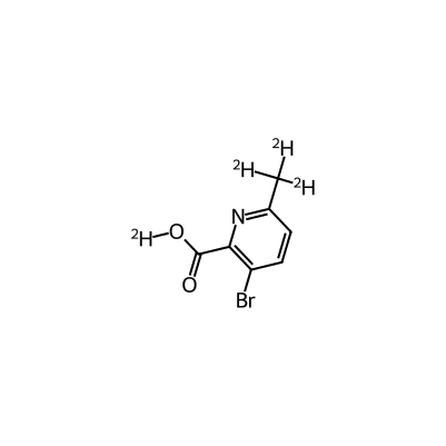 [2H]OC(=O)c1nc(C([2H])([2H])[2H])ccc1Br